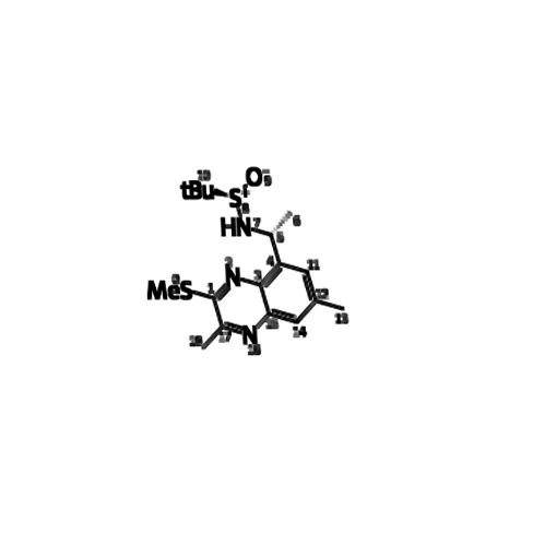 CSc1nc2c([C@@H](C)N[S@+]([O-])C(C)(C)C)cc(C)cc2nc1C